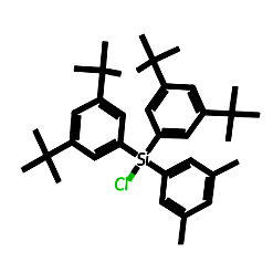 Cc1cc(C)cc([Si](Cl)(c2cc(C(C)(C)C)cc(C(C)(C)C)c2)c2cc(C(C)(C)C)cc(C(C)(C)C)c2)c1